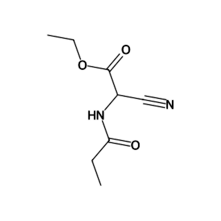 CCOC(=O)C(C#N)NC(=O)CC